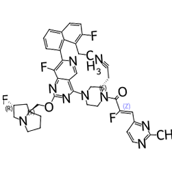 CCc1c(F)ccc2cccc(-c3ncc4c(N5CCN(C(=O)/C(F)=C/c6ccnc(C)n6)[C@@H](CC#N)C5)nc(OC[C@@]56CCCN5C[C@H](F)C6)nc4c3F)c12